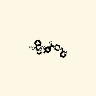 O=C(c1ccc(C[C@@H]2CC[C@H]([C@H](O)c3ccccc3)N2C(=O)O)cc1)N1CCN(Cc2ccccn2)CC1